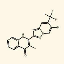 Cc1c(-c2nc3cc(C(F)(F)F)c(Br)cn3n2)[nH]c2ccccc2c1=O